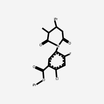 CC(C)OC(=O)c1cc(N2C(=O)CC(C(C)C)C(C)C2=O)c(F)cc1Cl